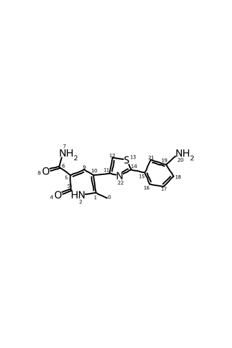 Cc1[nH]c(=O)c(C(N)=O)cc1-c1csc(-c2cccc(N)c2)n1